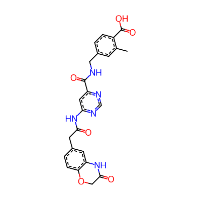 Cc1cc(CNC(=O)c2cc(NC(=O)Cc3ccc4c(c3)NC(=O)CO4)ncn2)ccc1C(=O)O